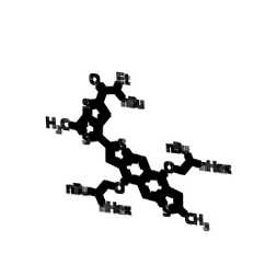 CCCCCCC(CCCC)COc1c2cc(C)sc2cc2c(OCC(CCCC)CCCCCC)c3cc(-c4sc(C)c5sc(C(=O)C(CC)CCCC)cc45)sc3cc12